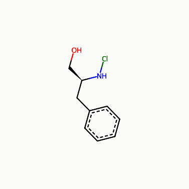 OC[C@H](Cc1ccccc1)NCl